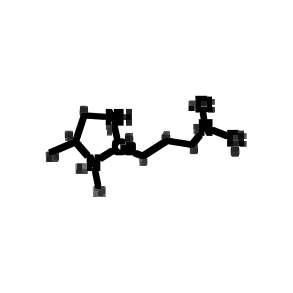 CCN(CC)CC[CH2][Ga]1[NH]CC(C)[N]1C